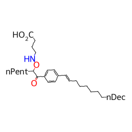 CCCCCCCCCCCCCCCCC=Cc1ccc(C(=O)C(CCCCC)ONCCCC(=O)O)cc1